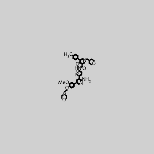 COc1cc(-c2cnc(N)c(-c3ccc(NC(=O)c4cn(CC5CCOCC5)cc(-c5ccc(C)cc5)c4=O)nn3)c2)ccc1OCCN1CCOCC1